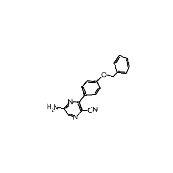 N#Cc1ncc(N)nc1-c1ccc(OCc2ccccc2)cc1